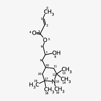 CC=CC(=O)OCC(O)CC1CC(C)(C)N(C)C(C)(C)C1